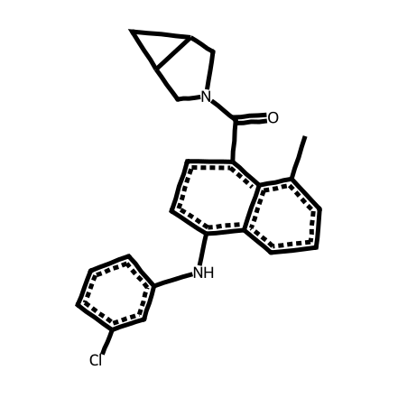 Cc1cccc2c(Nc3cccc(Cl)c3)ccc(C(=O)N3CC4CC4C3)c12